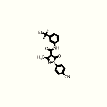 CCC(F)(F)c1cccc(NC(=O)C2C(=O)N(c3ccc(C#N)cc3)N=C2C)c1